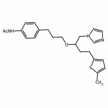 CC(=O)Nc1ccc(CCCOC(CCc2ccc(C)s2)Cn2ccnc2)cc1